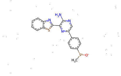 C[S+]([O-])c1ccc(-c2cnc(N)c(-c3nc4ccccc4s3)n2)cc1